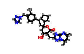 CCc1cc(CCC2(C3CCCC3)CC(O)=C(Cc3nc4nc(C)cc(C)n4n3)C(=O)O2)ccc1Cn1cncn1